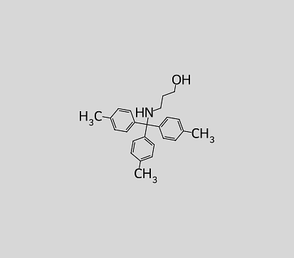 Cc1ccc(C(NCCCO)(c2ccc(C)cc2)c2ccc(C)cc2)cc1